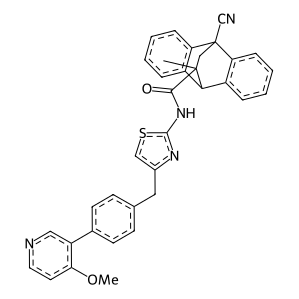 COc1ccncc1-c1ccc(Cc2csc(NC(=O)C3(C)CC4(C#N)c5ccccc5C3c3ccccc34)n2)cc1